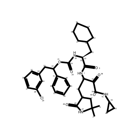 CC1(C)CC(CC(NC(=O)[C@H](CC2CCCCC2)NC(=O)OC(Cc2cccc(Cl)c2)c2ccccc2)C(=O)C(=O)NC2CC2)C(=O)N1